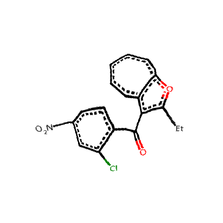 CCc1oc2ccccc2c1C(=O)c1ccc([N+](=O)[O-])cc1Cl